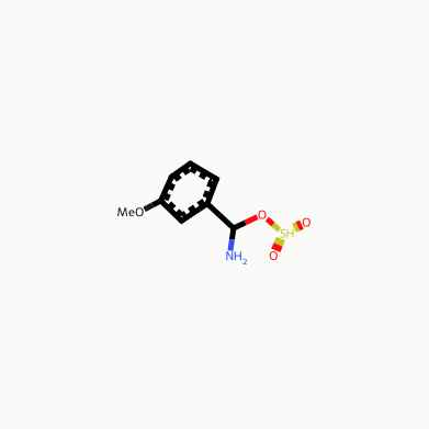 COc1cccc(C(N)O[SH](=O)=O)c1